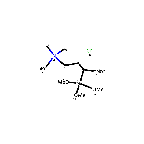 CCCCCCCCCC(CC[N+](C)(C)CCC)[Si](OC)(OC)OC.[Cl-]